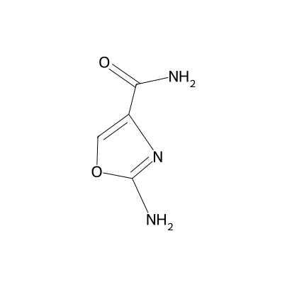 NC(=O)c1coc(N)n1